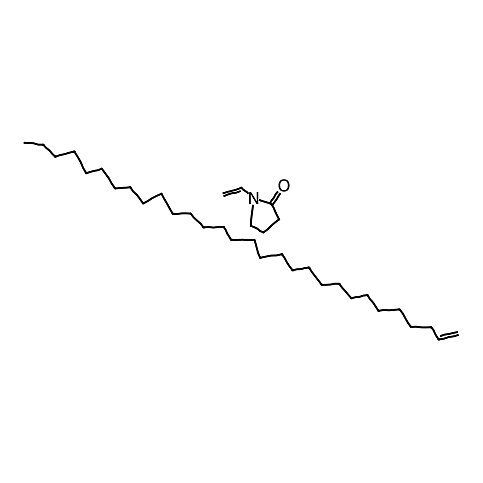 C=CCCCCCCCCCCCCCCCCCCCCCCCCCCCC.C=CN1CCCC1=O